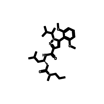 CCCN(C)C(=O)C[C@H](CC(C)C)NC(=O)c1cc(-c2c(OC)cccc2OC)n(C(C)C(C)C)n1